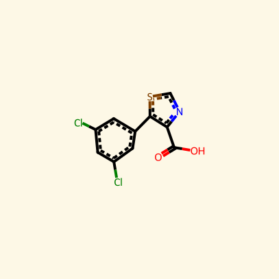 O=C(O)c1ncsc1-c1cc(Cl)cc(Cl)c1